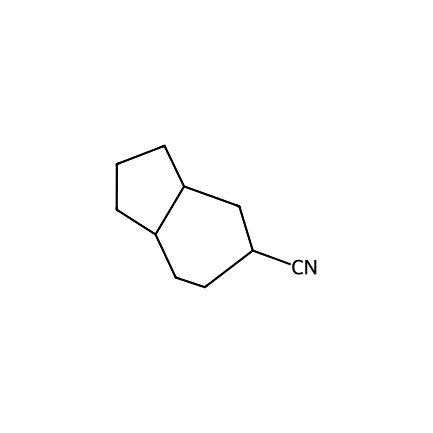 N#CC1CCC2CCCC2C1